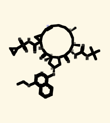 CCOc1nnc(O[C@@H]2C[C@H]3C(=O)NC4(C(=O)NS(=O)(=O)C5CC5)CC4/C=C\CC[C@H](C)C[C@@H](C)[C@H](NC(=O)NC(C)(C)C)C(=O)N3C2)c2ccccc12